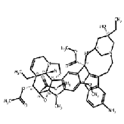 CC[C@]1(O)C[C@H]2CN(CCc3c([nH]c4ccc(N)cc34)[C@@](C(=O)OC)(c3cc4c(cc3OC)N(C)[C@@]35O[C@]3(C(=O)OC)[C@H](OC(C)=O)[C@]3(CC)C=CCN6CC[C@]45[C@@H]63)C2)C1